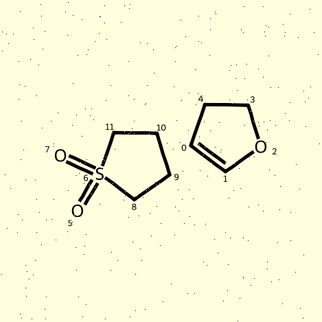 C1=COCC1.O=S1(=O)CCCC1